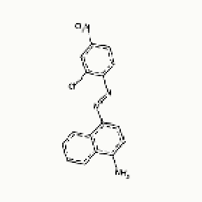 Nc1ccc(N=Nc2ccc([N+](=O)[O-])cc2Cl)c2ccccc12